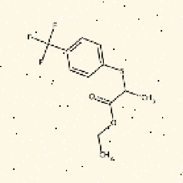 CCOC(=O)C(C)Sc1ccc(C(F)(F)F)cc1